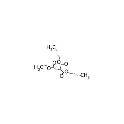 CCCCOC(=O)C(CC(=O)OCC)C(=O)OCCCC